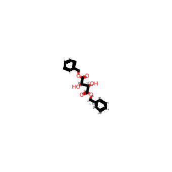 O=C(OCc1ccccc1)C(O)C(O)C(=O)OCc1ccccc1